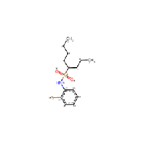 CCCCC(CCC)S(=O)(=O)Nc1ccccc1[S]